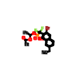 CCC(=O)O[C@H](OP(=O)(O)C(F)(F)c1cc2cc(CC#N)ccc2cc1Br)C(C)C